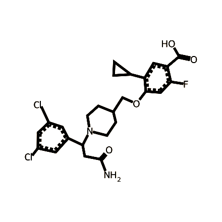 NC(=O)CC(c1cc(Cl)cc(Cl)c1)N1CCC(COc2cc(F)c(C(=O)O)cc2C2CC2)CC1